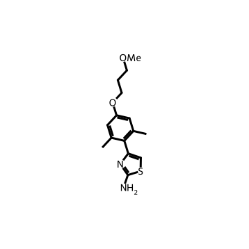 COCCCOc1cc(C)c(-c2csc(N)n2)c(C)c1